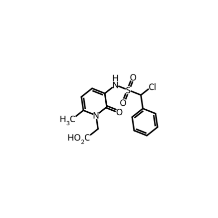 Cc1ccc(NS(=O)(=O)C(Cl)c2ccccc2)c(=O)n1CC(=O)O